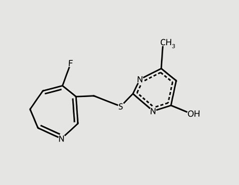 Cc1cc(O)nc(SCC2=CN=CCC=C2F)n1